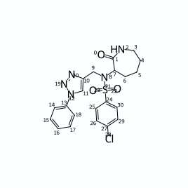 O=C1NCCCCC1N(Cc1cn(-c2ccccc2)nn1)S(=O)(=O)c1ccc(Cl)cc1